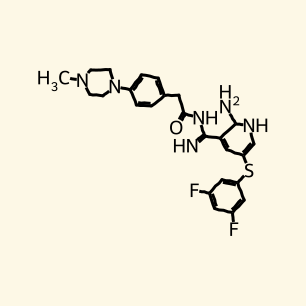 CN1CCN(c2ccc(CC(=O)NC(=N)C3=CC(Sc4cc(F)cc(F)c4)=CNC3N)cc2)CC1